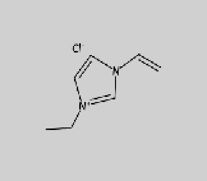 C=Cn1cc[n+](CC)c1.[Cl-]